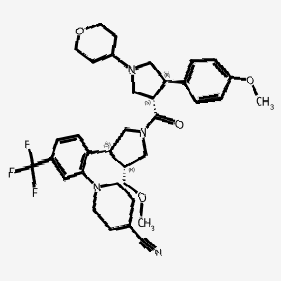 COC[C@H]1CN(C(=O)[C@@H]2CN(C3CCOCC3)C[C@H]2c2ccc(OC)cc2)C[C@@H]1c1ccc(C(F)(F)F)cc1N1CCC(C#N)CC1